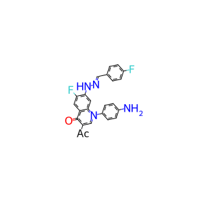 CC(=O)c1cn(-c2ccc(N)cc2)c2cc(N/N=C/c3ccc(F)cc3)c(F)cc2c1=O